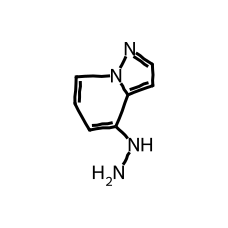 NNc1cccn2nccc12